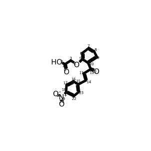 O=C(O)COc1ccccc1C(=O)C=Cc1ccc([N+](=O)[O-])cc1